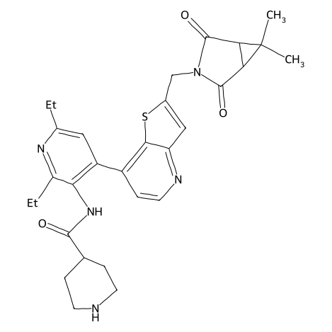 CCc1cc(-c2ccnc3cc(CN4C(=O)C5C(C4=O)C5(C)C)sc23)c(NC(=O)C2CCNCC2)c(CC)n1